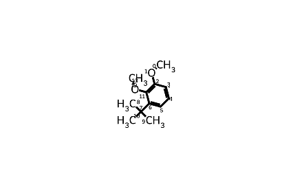 COc1[c]ccc(C(C)(C)C)c1OC